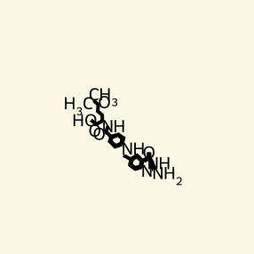 CC(C)C(=O)CCC(NC(=O)c1ccc(NCc2ccc3nc(N)[nH]c(=O)c3c2)cc1)C(=O)O